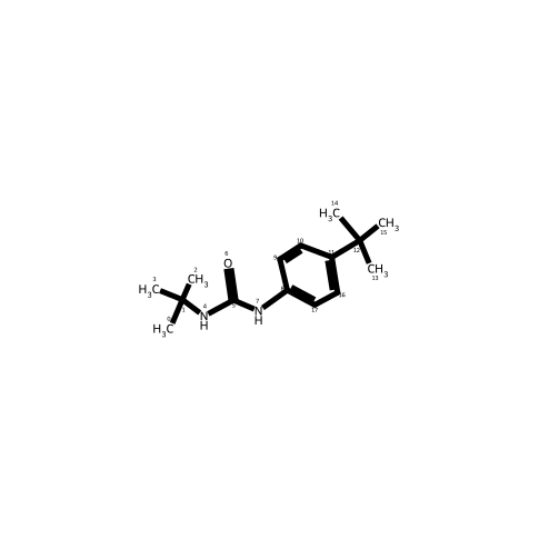 CC(C)(C)NC(=O)Nc1ccc(C(C)(C)C)cc1